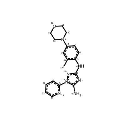 Nc1nc(Nc2ccc(N3CCOCC3)cc2I)nn1-c1ccccn1